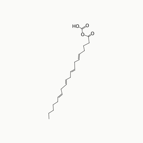 CCCCCC=CCC=CCC=CCC=CCCCC(=O)OC(=O)O